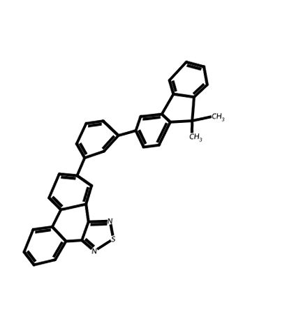 CC1(C)c2ccccc2-c2cc(-c3cccc(-c4ccc5c6ccccc6c6nsnc6c5c4)c3)ccc21